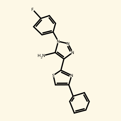 Nc1c(-c2nc(-c3ccccc3)cs2)nnn1-c1ccc(F)cc1